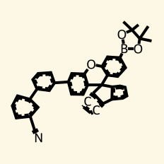 CC1(C)OB(c2ccc3c(c2)Oc2cc(-c4cccc(-c5cccc(C#N)c5)c4)ccc2C32c3ccccc3-c3ccccc32)OC1(C)C